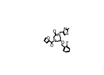 Cc1nc(CN2CC(OCc3ccccc3F)CN(C(=O)c3ccco3)CC2=O)cs1